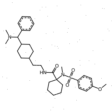 COc1ccc(S(=O)(=O)N(C)C2(C(=O)NCCC3CCC(C(c4ccccc4)N(C)C)CC3)CCCCC2)cc1